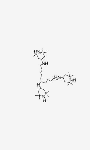 CC1(C)CC(=NC(CCCCCNC2CC(C)(C)NC(C)(C)C2)CCCCCNC2CC(C)(C)NC(C)(C)C2)CC(C)(C)N1